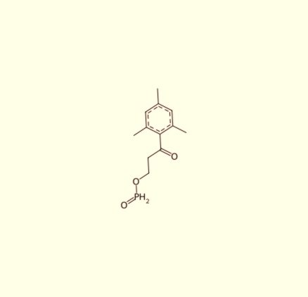 Cc1cc(C)c(C(=O)CCO[PH2]=O)c(C)c1